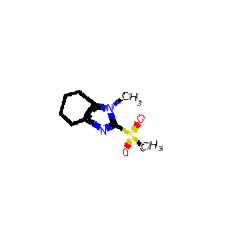 Cn1c(S(C)(=O)=O)nc2c1CCCC2